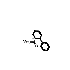 COC(=O)[C@H]1CCC=CC1c1ccccc1